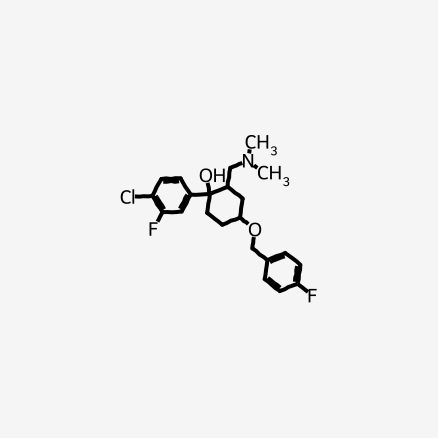 CN(C)CC1CC(OCc2ccc(F)cc2)CCC1(O)c1ccc(Cl)c(F)c1